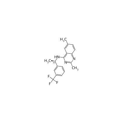 Cc1ccc2nc(C)nc(N[C@H](C)c3cccc(C(F)(F)F)c3)c2c1